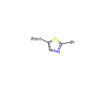 CCCC(C)c1cnc(C(C)C)s1